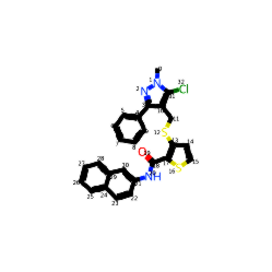 Cn1nc(-c2ccccc2)c(CSc2ccsc2C(=O)Nc2ccc3ccccc3c2)c1Cl